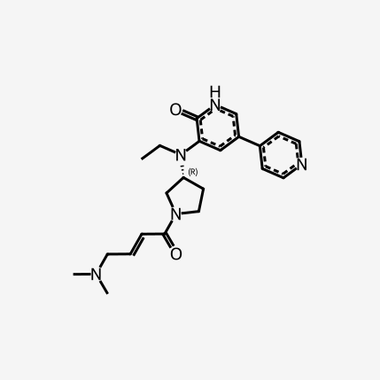 CCN(c1cc(-c2ccncc2)c[nH]c1=O)[C@@H]1CCN(C(=O)C=CCN(C)C)C1